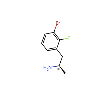 C[C@@H](N)Cc1cccc(Br)c1F